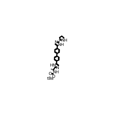 C[C@H](NC(=O)OC(C)(C)C)c1ncc(-c2ccc(-c3ccc(-c4cnc([C@@H]5CCCN5)[nH]4)cc3)cc2)[nH]1